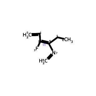 C=C/C(F)=C(\CC)N=C